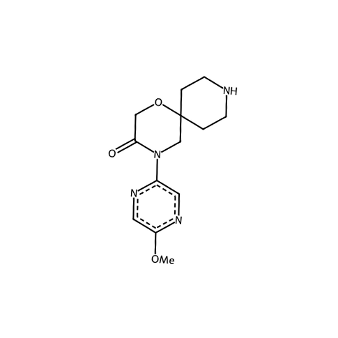 COc1cnc(N2CC3(CCNCC3)OCC2=O)cn1